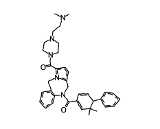 CN(C)CCN1CCN(C(=O)c2ccc3n2Cc2ccccc2N(C(=O)C2=CC(C)(C)C(c4ccccc4)C=C2)C3)CC1